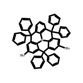 CC(C)(C)c1cc2c3c(c1)C(c1ccccc1)(c1ccccc1)c1cc(C(C)(C)C)cc4c1N3c1c(cccc1C4(c1ccccc1)c1ccccc1)C2(c1ccccc1)c1ccccc1